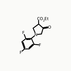 CCOC(=O)C1CN(c2c(F)cc(F)cc2F)CC1=O